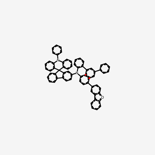 c1ccc(-c2cccc(-c3ccccc3N(c3ccc(-c4ccc5oc6ccccc6c5c4)cc3)c3ccc4c(c3)C3(c5ccccc5-4)c4ccccc4N(c4ccccc4)c4ccccc43)c2)cc1